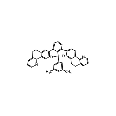 CCC(CC)(c1cc(C)cc(C)c1)c1c(-c2ccc3c(c2)CCc2cccnc2-3)cccc1-c1ccc2c(c1)CCc1cccnc1-2